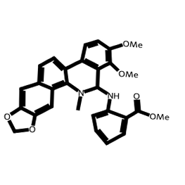 COC(=O)c1ccccc1NC1c2c(ccc(OC)c2OC)-c2ccc3cc4c(cc3c2N1C)OCO4